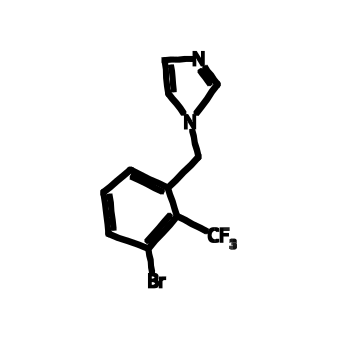 FC(F)(F)c1c(Br)cccc1Cn1ccnc1